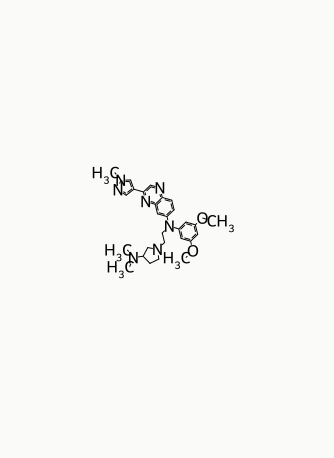 COc1cc(OC)cc(N(CCN2CCC(N(C)C)C2)c2ccc3ncc(-c4cnn(C)c4)nc3c2)c1